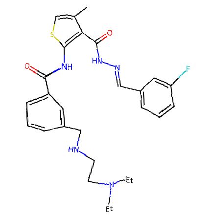 CCN(CC)CCNCc1cccc(C(=O)Nc2scc(C)c2C(=O)NN=Cc2cccc(F)c2)c1